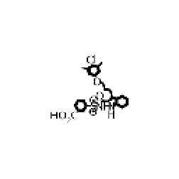 Cc1cc(OCCCc2c(C(=O)NS(=O)(=O)c3cccc(C(=O)O)c3)[nH]c3ccccc23)cc(C)c1Cl